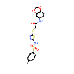 Cc1ccc(S(=O)(=O)Nc2nnc(SCC(=O)Nc3ccc4c(c3)OCO4)s2)cc1